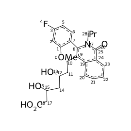 COc1cc(F)ccc1-c1c(CC[C@@H](O)CC(O)CC(=O)O)c2ccccc2c(=O)n1C(C)C